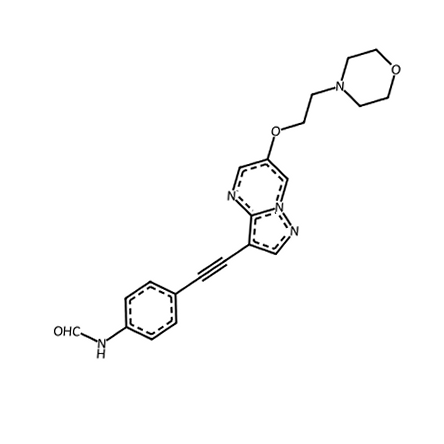 O=CNc1ccc(C#Cc2cnn3cc(OCCN4CCOCC4)cnc23)cc1